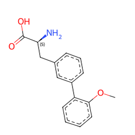 COc1ccccc1-c1cccc(C[C@H](N)C(=O)O)c1